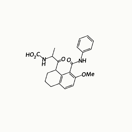 COc1ccc2c(c1C(=O)Nc1ccccc1)C(C(=O)C(C)NC(=O)O)CCC2